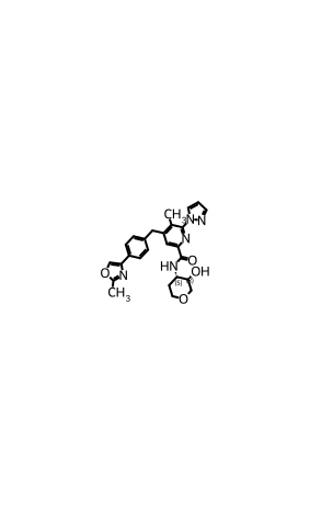 Cc1nc(-c2ccc(Cc3cc(C(=O)N[C@H]4CCOC[C@@H]4O)nc(-n4cccn4)c3C)cc2)co1